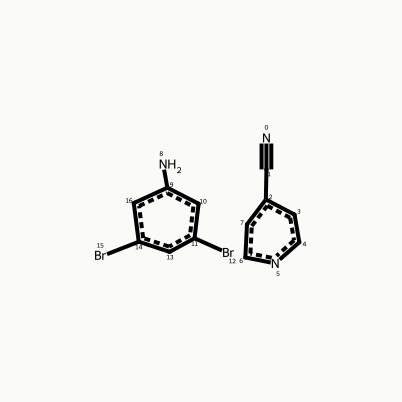 N#Cc1ccncc1.Nc1cc(Br)cc(Br)c1